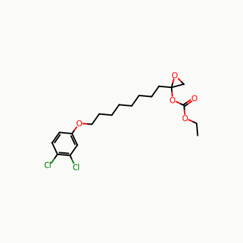 CCOC(=O)OC1(CCCCCCCCOc2ccc(Cl)c(Cl)c2)CO1